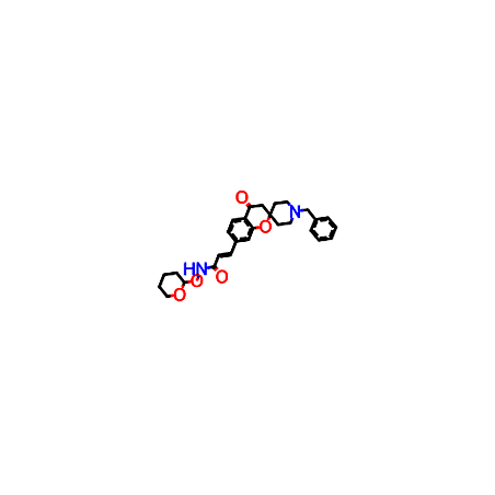 O=C(C=Cc1ccc2c(c1)OC1(CCN(Cc3ccccc3)CC1)CC2=O)NOC1CCCCO1